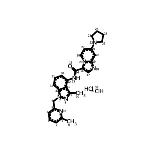 Cc1cccc(Cn2nc(C)c3c(NC(=O)c4cnc5cc(N6CCCC6)ccn45)cccc32)n1.Cl.Cl